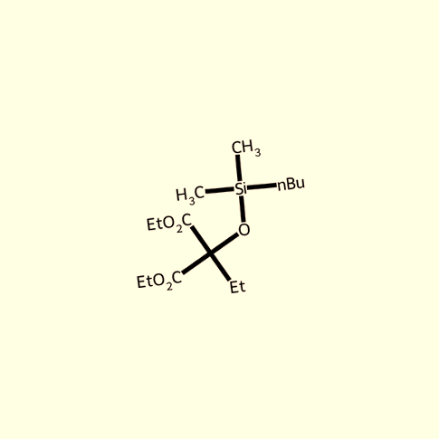 CCCC[Si](C)(C)OC(CC)(C(=O)OCC)C(=O)OCC